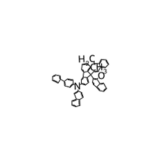 C=Cc1ccccc1C1=C(C)C2(c3ccccc3-c3cc(N(c4ccc(-c5ccccc5)cc4)c4ccc5ccccc5c4)ccc32)c2ccc3ccccc3c2O1